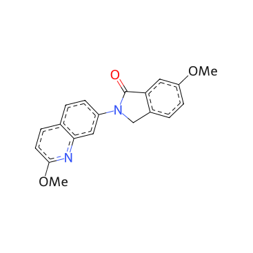 COc1ccc2c(c1)C(=O)N(c1ccc3ccc(OC)nc3c1)C2